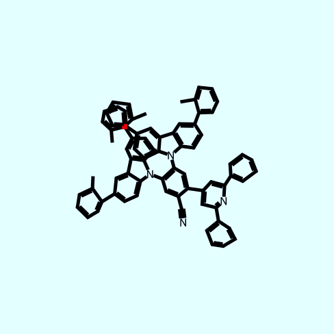 Cc1ccccc1-c1ccc2c(c1)c1cc(-c3ccccc3C)ccc1n2-c1cc(C#N)c(-c2cc(-c3ccccc3)nc(-c3ccccc3)c2)cc1-n1c2ccc(-c3ccccc3C)cc2c2cc(-c3ccccc3C)ccc21